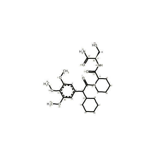 COc1cc(C(C(=O)N2CCCCC2C(=O)N[C@H](CO)C(N)=O)C2CCCCC2)cc(OC)c1OC